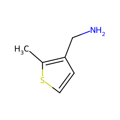 Cc1sccc1CN